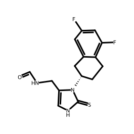 O=CNCc1c[nH]c(=S)n1[C@H]1CCc2c(F)cc(F)cc2C1